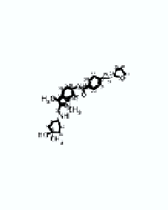 Cc1c(CN[C@H]2CC[C@](C)(O)CC2)n(C)c2c(F)c(NC(=O)c3ccc(OC[C@@H]4CCCO4)cc3)ccc12